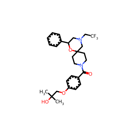 CC(C)(O)COc1ccc(C(=O)N2CCC3(CC2)CN(CC(F)(F)F)CC(c2ccccc2)O3)cc1